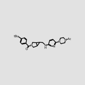 CC(=O)N1CCN(c2ccc(NCC3C4CN(C(=O)c5ccc(C(C)(C)C)cc5)CC34)cn2)CC1